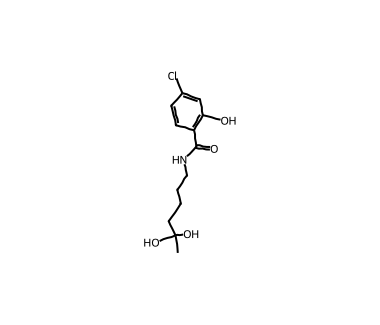 CC(O)(O)CCCCNC(=O)c1ccc(Cl)cc1O